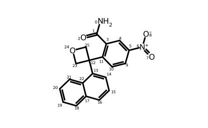 NC(=O)c1cc([N+](=O)[O-])ccc1C1(c2cccc3ccccc23)COC1